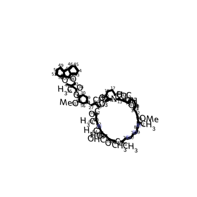 CO[C@H]1C[C@@H]2CC[C@@H](C)[C@@](O)(O2)C(=O)C(=O)N2CCCC[C@H]2C(=O)O[C@H]([C@H](C)C[C@@H]2CC[C@@H](OC(=O)C3(C)COC4(OC3)c3ccccc3-c3ccccc34)[C@H](OC)C2)CC(=O)[C@H](C)/C=C(\C)[C@@H](O)[C@@H](C=O)C(=O)[C@H](C)C[C@H](C)/C=C/C=C/C=C/1C